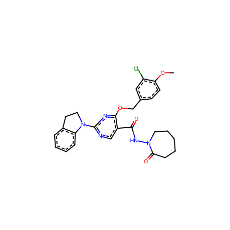 COc1ccc(COc2nc(N3CCc4ccccc43)ncc2C(=O)NN2CCCCCC2=O)cc1Cl